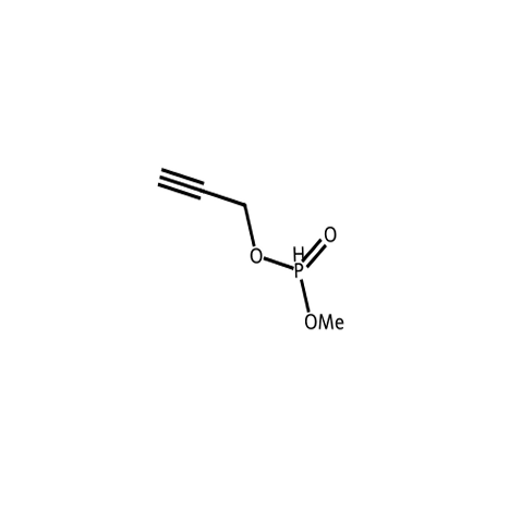 C#CCO[PH](=O)OC